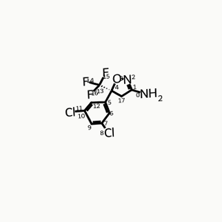 NC1=NO[C@@](c2cc(Cl)cc(Cl)c2)(C(F)(F)F)C1